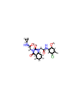 COc1cc(C)c(Cl)cc1NC(=O)Cn1c(=O)n(CC(=O)NC2CC2)c(=O)c2ccccc21